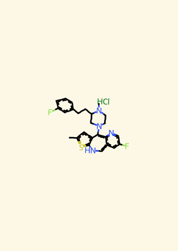 Cc1cc2c(s1)NC=c1cc(F)cnc1=C2N1CCN(C)C(CCc2cccc(F)c2)C1.Cl